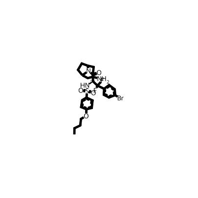 CCCCOc1ccc(S(=O)(=O)N[C@@H](C(=O)N2C3CCC2CC(N)C3)C(F)(F)c2ccc(Br)cc2)cc1